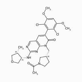 COc1cc(OC)c(Cl)c(-c2cc3cnc(N[C@@H]4COC[C@@H]4C)nc3n(C[C@@H]3CCN(C(C)=O)C3)c2=O)c1Cl